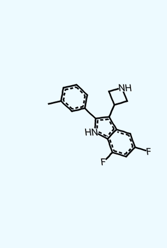 Cc1cccc(-c2[nH]c3c(F)cc(F)cc3c2C2CNC2)c1